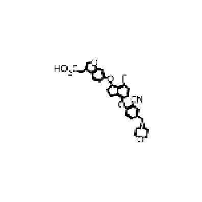 N#Cc1cc(CN2CCOCC2)ccc1Oc1ccc(F)c2c1CC[C@H]2Oc1ccc2c(c1)OCC2CC(=O)O